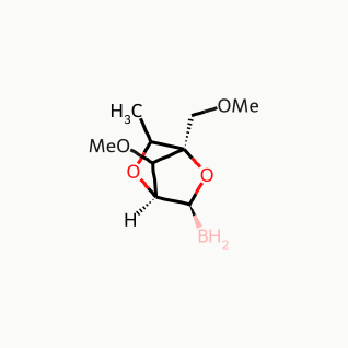 B[C@@H]1O[C@]2(COC)C(C)O[C@H]1C2OC